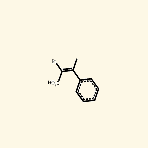 CCC(C(=O)O)=C(C)c1ccccc1